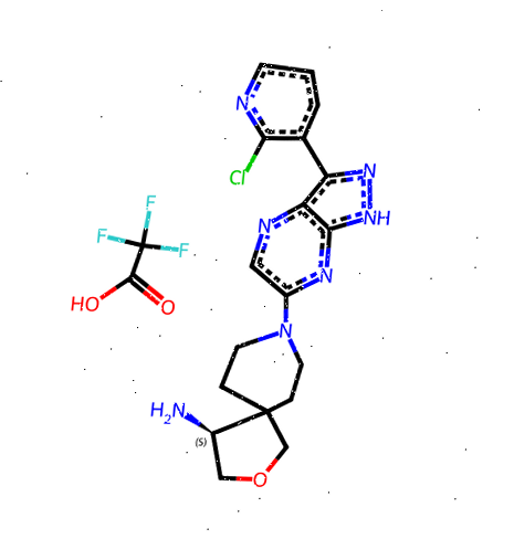 N[C@@H]1COCC12CCN(c1cnc3c(-c4cccnc4Cl)n[nH]c3n1)CC2.O=C(O)C(F)(F)F